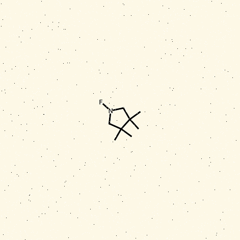 CC1(C)CN(F)CC1(C)C